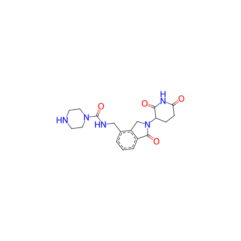 O=C1CCC(N2Cc3c(CNC(=O)N4CCNCC4)cccc3C2=O)C(=O)N1